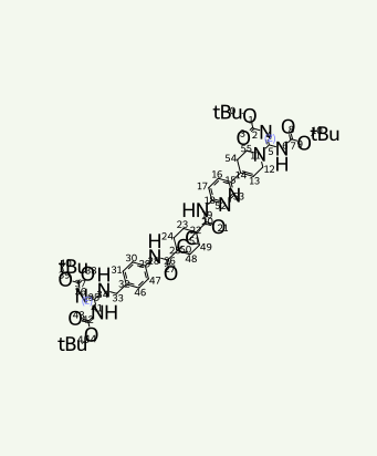 CC(C)(C)OC(=O)/N=C(/NC(=O)OC(C)(C)C)N1CC=C(c2ccc(NC(=O)C34CCC(C(=O)Nc5ccc(CN/C(=N\C(=O)OC(C)(C)C)NC(=O)OC(C)(C)C)cc5)(CC3)CC4)nn2)CC1